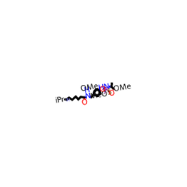 COC(=O)C(C)NP(=S)(OC)Oc1ccc(CNC(=O)CCCC/C=C/C(C)C)cc1OC